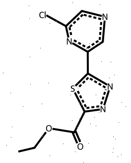 CCOC(=O)c1nnc(-c2cncc(Cl)n2)s1